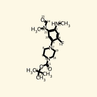 CNc1cc(F)c(N2CCN(C(=O)OC(C)(C)C)CC2)cc1N(C)C=O